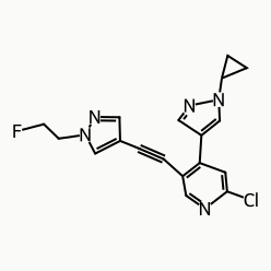 FCCn1cc(C#Cc2cnc(Cl)cc2-c2cnn(C3CC3)c2)cn1